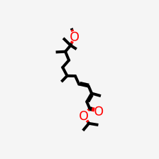 COC(C)(C)C(C)CCC(C)CC=CC(C)=CC(=O)OC(C)C